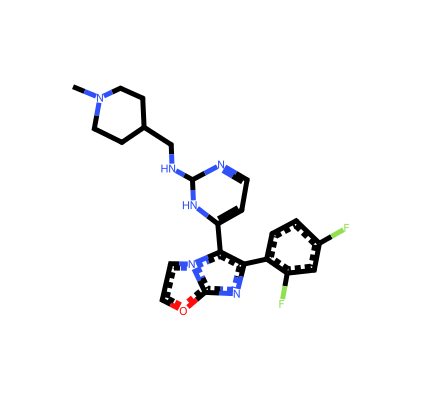 CN1CCC(CNC2N=CC=C(c3c(-c4ccc(F)cc4F)nc4occn34)N2)CC1